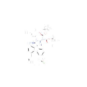 C=CCc1cccc(C2(c3ccc(OC(F)(F)F)cc3)N=C(N(C(=O)OC(C)(C)C)C(=O)OC(C)(C)C)N(CCC)C2=N)c1